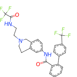 O=C(Nc1ccc2c(c1)CCN(CCNC(=O)C(F)(F)F)C2)c1ccccc1-c1ccc(C(F)(F)F)cc1